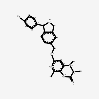 Cc1nc(NCc2ccc3c(c2)COC3c2ccc(F)cc2)cc2c1NC(=O)[C@H](C)N2C